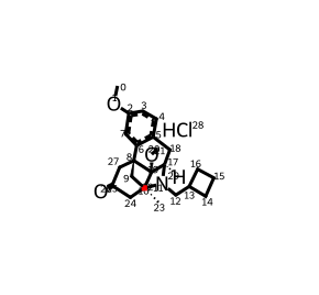 COc1ccc2c(c1)[C@]13CCN(CC4CCC4)[C@H](C2)[C@]1(OC)[C@H](C)CC(=O)C3.Cl